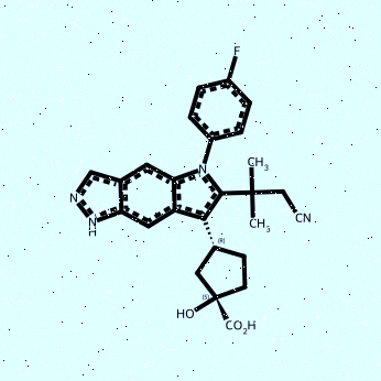 CC(C)(CC#N)c1c([C@@H]2CC[C@@](O)(C(=O)O)C2)c2cc3[nH]ncc3cc2n1-c1ccc(F)cc1